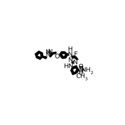 Cc1ccc(Nc2ncc(F)c(Nc3ccc(OCc4cn(Cc5ccccc5)nn4)cc3)n2)cc1S(N)(=O)=O